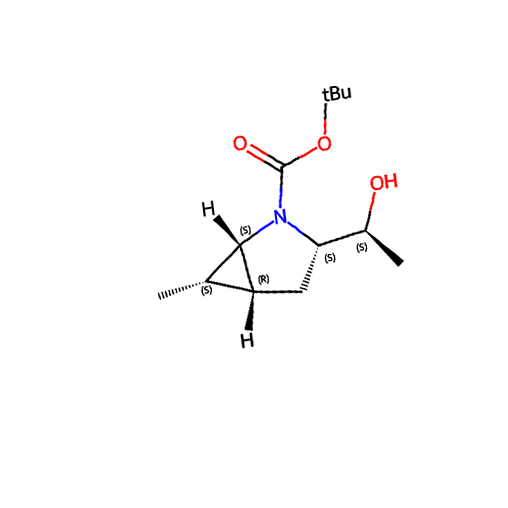 C[C@H]1[C@H]2C[C@@H]([C@H](C)O)N(C(=O)OC(C)(C)C)[C@@H]12